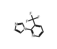 FC(F)(F)c1cccnc1-n1c[c]nc1